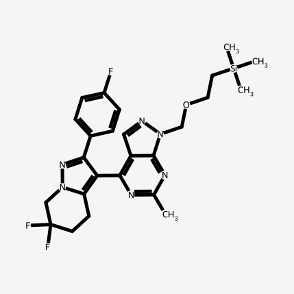 Cc1nc(-c2c(-c3ccc(F)cc3)nn3c2CCC(F)(F)C3)c2cnn(COCC[Si](C)(C)C)c2n1